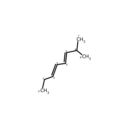 CCC=CC=CC(C)C